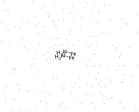 [AlH2][Fe].[AlH2][Fe]